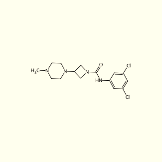 CN1CCN(C2CN(C(=O)Nc3cc(Cl)cc(Cl)c3)C2)CC1